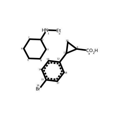 CCNC1CCCCC1.O=C(O)C1CC1c1ccc(Br)cc1